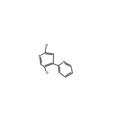 Clc1cc(-c2ccccn2)c(Cl)cn1